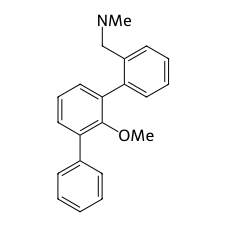 CNCc1ccccc1-c1cccc(-c2ccccc2)c1OC